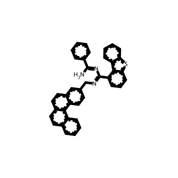 N/C(=N\C(=N/Cc1ccc2c(ccc3ccc4ccccc4c32)c1)c1cccc2sc3ccccc3c12)c1ccccc1